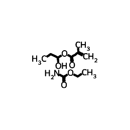 C=C(C)C(=O)OC(O)CC.CCOC(N)=O